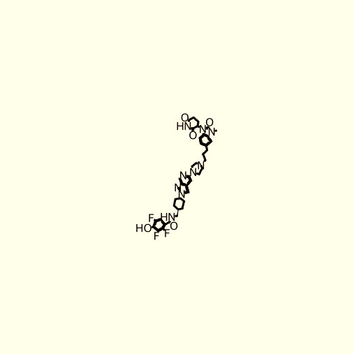 Cn1c(=O)n(C2CCC(=O)NC2=O)c2ccc(CCCN3CCN(c4cc5cn([C@H]6CC[C@H](CNC(=O)c7cc(F)c(O)c(F)c7F)CC6)nc5cn4)CC3)cc21